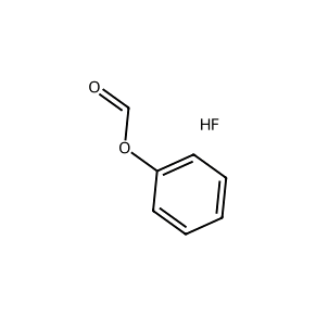 F.O=COc1ccccc1